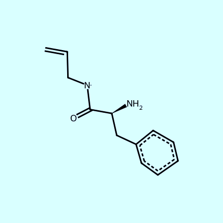 C=CC[N]C(=O)[C@@H](N)Cc1ccccc1